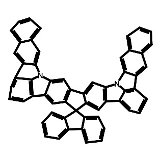 c1ccc2c(c1)-c1ccccc1C21c2cc3c4cccc5c6cc7ccccc7cc6n(c3cc2-c2cc3c(cc21)c1cccc2c6cc7ccccc7cc6n3c12)c45